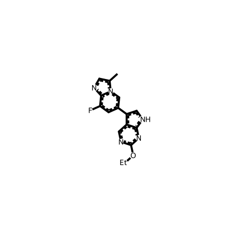 CCOc1ncc2c(-c3cc(F)c4ncc(C)n4c3)c[nH]c2n1